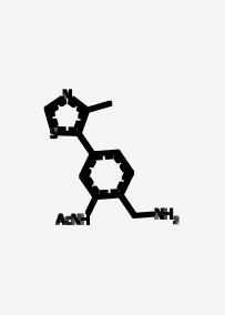 CC(=O)Nc1cc(-c2scnc2C)ccc1CN